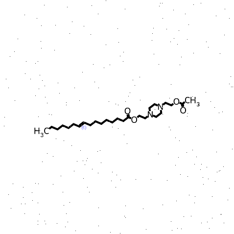 CCCCCC/C=C/CCCCCCCC(=O)OCCN1CCN(CCOC(C)=O)CC1